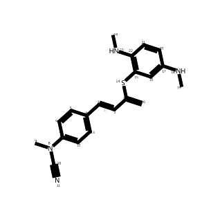 C=C(/C=C/c1ccc(N(C)C#N)cc1)Sc1cc(NC)ccc1NC